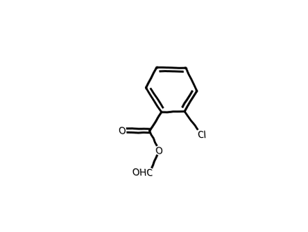 O=COC(=O)c1ccccc1Cl